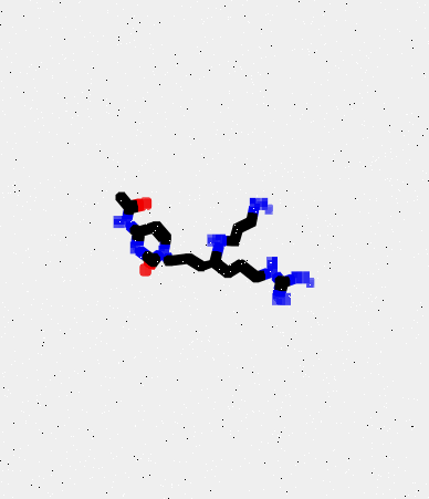 CC(=O)Nc1ccn(CCC[C@H](CCCNC(=N)N)NCCCN)c(=O)n1